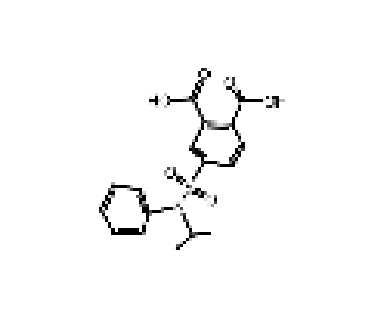 CC(C)N(c1ccccc1)S(=O)(=O)c1ccc(C(=O)O)c(C(=O)O)c1